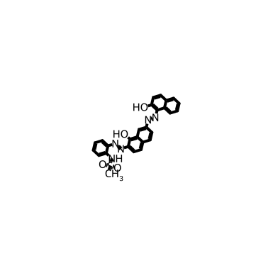 CS(=O)(=O)Nc1ccccc1N=Nc1ccc2ccc(N=Nc3c(O)ccc4ccccc34)cc2c1O